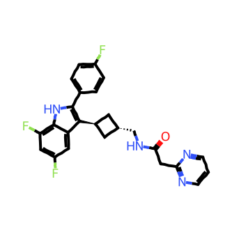 O=C(Cc1ncccn1)NC[C@H]1C[C@H](c2c(-c3ccc(F)cc3)[nH]c3c(F)cc(F)cc32)C1